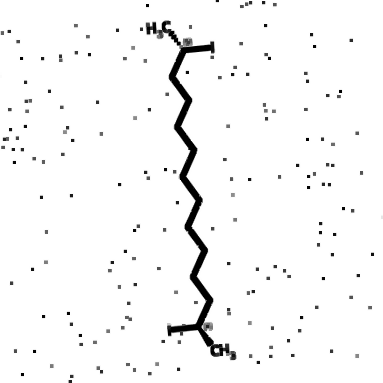 C[C@H](I)CCCCCCCCCC[C@@H](C)I